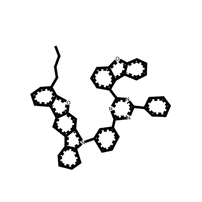 CCCCc1cccc2c1oc1cc3c(cc12)c1ccccc1n3-c1cccc(-c2nc(-c3ccccc3)nc(-c3cccc4oc5ccccc5c34)n2)c1